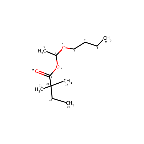 CCCCOC(C)OC(=O)C(C)(C)CC